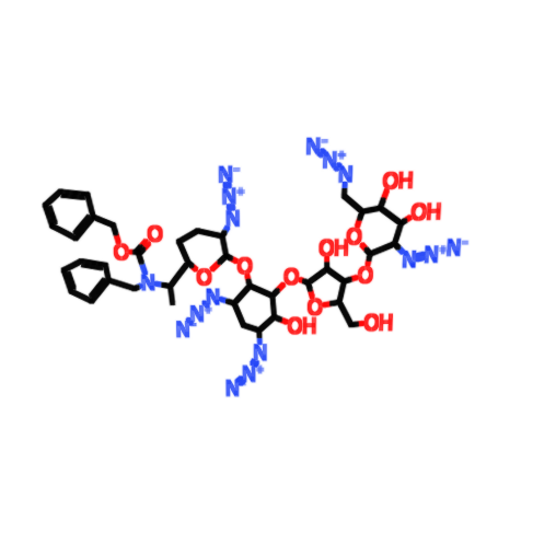 CC(C1CCC(N=[N+]=[N-])C(OC2C(N=[N+]=[N-])CC(N=[N+]=[N-])C(O)C2OC2OC(CO)C(OC3OC(CN=[N+]=[N-])C(O)C(O)C3N=[N+]=[N-])C2O)O1)N(Cc1ccccc1)C(=O)OCc1ccccc1